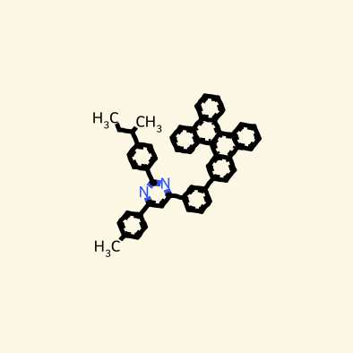 CCC(C)c1ccc(-c2nc(-c3ccc(C)cc3)cc(-c3cccc(-c4ccc5c6ccccc6c6c7ccccc7c7ccccc7c6c5c4)c3)n2)cc1